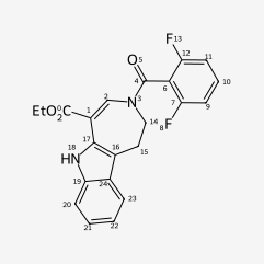 CCOC(=O)C1=CN(C(=O)c2c(F)cccc2F)CCc2c1[nH]c1ccccc21